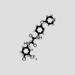 O=C(Nc1ccc(Oc2ccncc2)cc1)C(=O)Nc1ccc(Cl)c(C(F)(F)F)c1